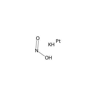 O=NO.[KH].[Pt]